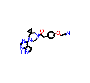 N#CCOc1ccc(CC(=O)N2CCN(c3ncnc4[nH]ccc34)CC3(CC3)C2)cc1